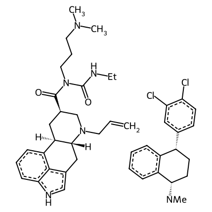 C=CCN1C[C@H](C(=O)N(CCCN(C)C)C(=O)NCC)C[C@@H]2c3cccc4[nH]cc(c34)C[C@H]21.CN[C@H]1CC[C@@H](c2ccc(Cl)c(Cl)c2)c2ccccc21